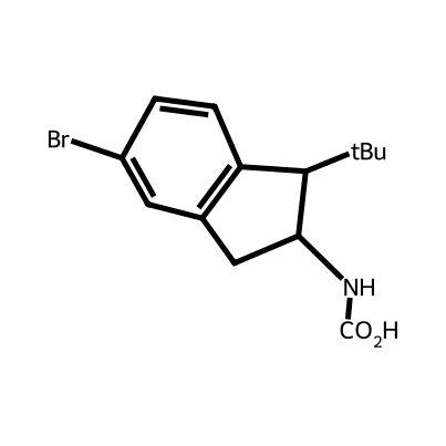 CC(C)(C)C1c2ccc(Br)cc2CC1NC(=O)O